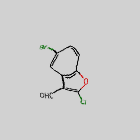 O=Cc1c(Cl)oc2ccc(Br)cc12